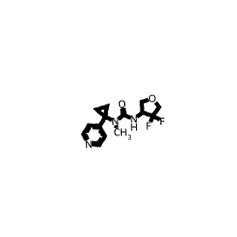 CN(C(=O)NC1COCC1(F)F)C1(c2ccncc2)CC1